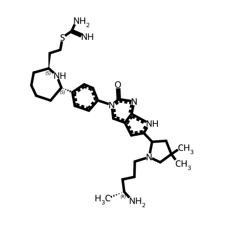 C[C@@H](N)CCCN1CC(C)(C)CC1c1cc2cn(-c3ccc([C@@H]4CCCC[C@@H](CCSC(=N)N)N4)cc3)c(=O)nc2[nH]1